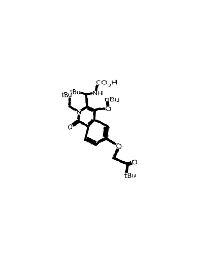 CCCCOc1c(C(NC(=O)O)C(C)(C)C)n(CC(C)(C)C)c(=O)c2ccc(OCC(=O)C(C)(C)C)cc12